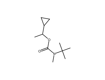 CC(OC(=O)N(C)C(C)(C)C)C1CC1